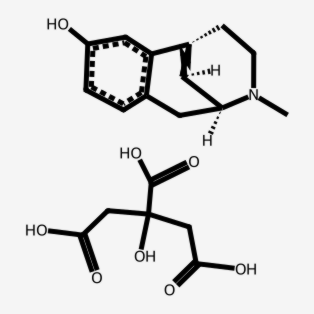 CN1CC[C@@]23CCCC[C@@H]2[C@@H]1Cc1ccc(O)cc13.O=C(O)CC(O)(CC(=O)O)C(=O)O